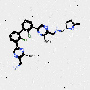 C=C1CC[C@@H](CNCc2ncc(-c3cccc(-c4cccc(-c5cnc(CN)c(OC)n5)c4Cl)c3Cl)nc2OC)N1